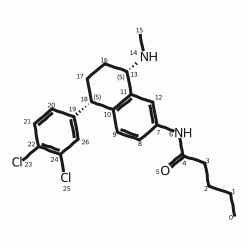 CCCCC(=O)Nc1ccc2c(c1)[C@@H](NC)CC[C@H]2c1ccc(Cl)c(Cl)c1